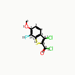 COc1ccc2c(Cl)c(C(=O)Cl)sc2c1F